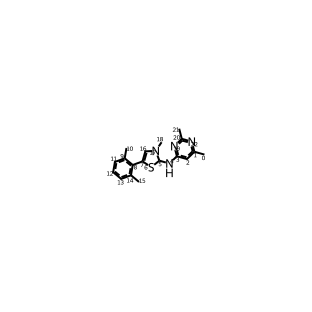 Cc1cc(NC2SC(c3c(C)cccc3C)=CN2C)nc(C)n1